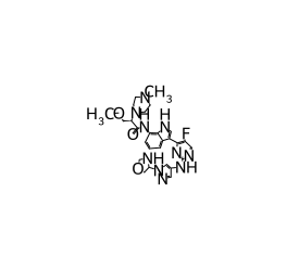 COC[C@H](C(=O)Nc1cccc2c(-c3nc(Nc4cnn(C5COCN5)c4)ncc3F)c[nH]c12)N1CCN(C)CC1